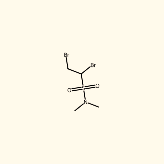 CN(C)S(=O)(=O)C(Br)CBr